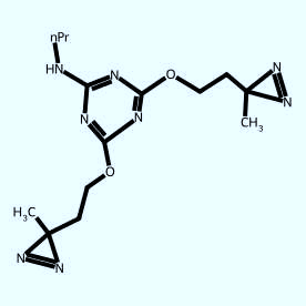 CCCNc1nc(OCCC2(C)N=N2)nc(OCCC2(C)N=N2)n1